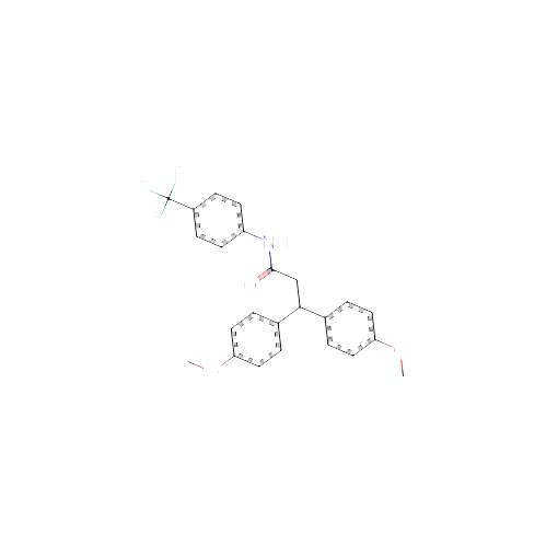 COc1ccc(C(CC(=O)Nc2ccc(C(F)(F)F)cc2)c2ccc(OC)cc2)cc1